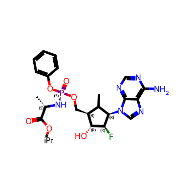 CC(C)OC(=O)[C@H](C)N[P@](=O)(OC[C@H]1C(C)[C@@H](n2cnc3c(N)ncnc32)[C@@H](F)[C@@H]1O)Oc1ccccc1